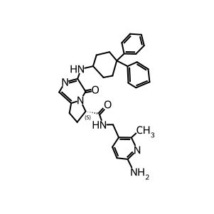 Cc1nc(N)ccc1CNC(=O)[C@@H]1CCc2cnc(NC3CCC(c4ccccc4)(c4ccccc4)CC3)c(=O)n21